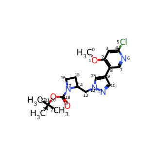 COc1cc(Cl)ncc1-c1cnn(CC2CCN2C(=O)OC(C)(C)C)c1